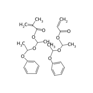 C=C(C)C(=O)OC(C)OC(C)Oc1ccccc1.C=CC(=O)OC(C)OC(C)Oc1ccccc1